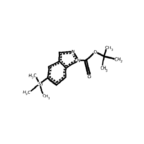 CC(C)(C)OC(=O)n1ncc2c[c]([Sn]([CH3])([CH3])[CH3])ccc21